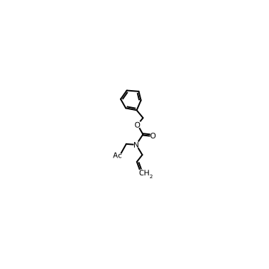 C=CCN(CC(C)=O)C(=O)OCc1ccccc1